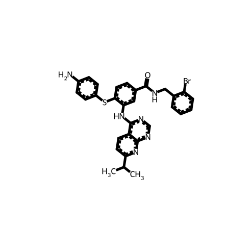 CC(C)c1ccc2c(Nc3cc(C(=O)NCc4ccccc4Br)ccc3Sc3ccc(N)cc3)ncnc2n1